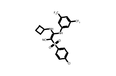 N#CC(=C(Nc1cc(C(F)(F)F)cc(C(F)(F)F)c1)NC1CCC1)S(=O)(=O)c1ccc(Cl)cc1